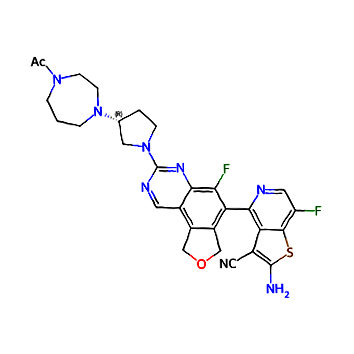 CC(=O)N1CCCN([C@@H]2CCN(c3ncc4c5c(c(-c6ncc(F)c7sc(N)c(C#N)c67)c(F)c4n3)COC5)C2)CC1